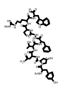 CNC(=N)NCCCC(NC(=O)C(CC(C)C)NC(=O)NNC(=O)C(Cc1ccccc1)NC(=O)C(NC(=O)C(CC(N)=O)NC(=O)[C@@H]1C[C@@H](O)CN1C(=O)C(Cc1ccc(O)cc1)NC(C)=O)C(C)O)C(=O)NC(Cc1c[nH]c2ccccc12)C(N)=O